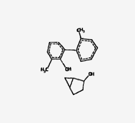 Cc1ccccc1-c1cccc(C)c1O.OC1CCC2CC12